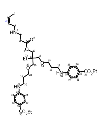 C/C=C\CNCCC(=O)OCC(CC)(COCCCNc1ccc(C(=O)OCC)cc1)COCCCNc1ccc(C(=O)OCC)cc1